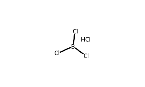 Cl.ClB(Cl)Cl